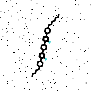 CCCCCCCC1CCC(c2ccc(C3CCC(c4ccc(C5CCC(CCCCC)CC5)c(F)c4)CC3)c(F)c2)CC1